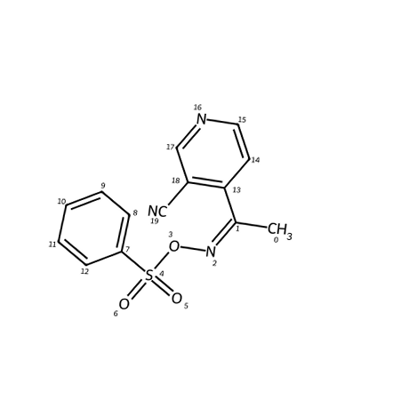 CC(=NOS(=O)(=O)c1ccccc1)c1ccncc1C#N